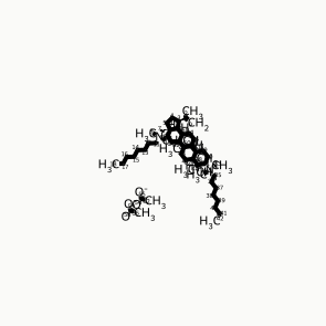 C=C(C)[C@@H]1CC[C@]2(C[N+](C)(C)CCCCCCCC)CC[C@]3(C)[C@H](CC[C@@H]4[C@@]5(C)CCC([N+](C)(C)CCCCCCCC)C(C)(C)[C@@H]5CC[C@]43C)[C@@H]12.CC(=O)[O-].CC(=O)[O-]